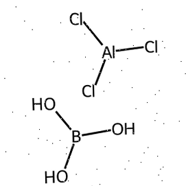 OB(O)O.[Cl][Al]([Cl])[Cl]